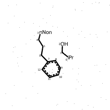 CC(C)CO.CCCCCCCCCCCCc1ccccc1